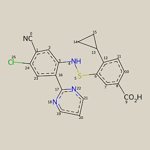 N#Cc1cc(NSc2cc(C(=O)O)ccc2C2CC2)c(-c2ncccn2)cc1Cl